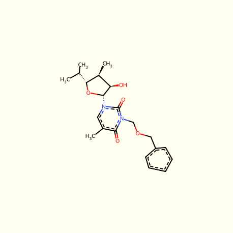 Cc1cn([C@@H]2O[C@H](C(C)C)[C@@H](C)[C@H]2O)c(=O)n(COCc2ccccc2)c1=O